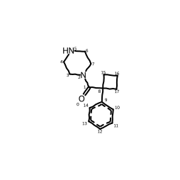 O=C(N1CCNCC1)C1(c2ccccc2)CCC1